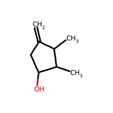 C=C1CC(O)C(C)C1C